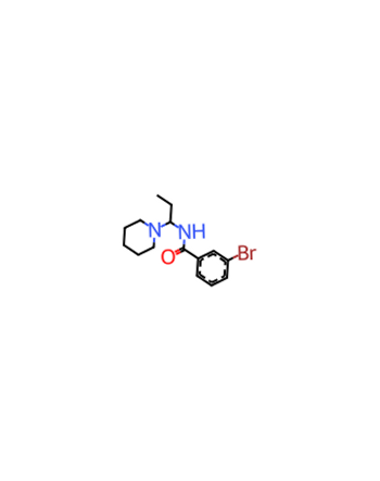 CCC(NC(=O)c1cccc(Br)c1)N1CCCCC1